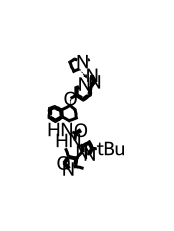 Cc1noc(C)c1-n1nc(C(C)(C)C)cc1NC(=O)N[C@H]1CC[C@@H](Oc2ccc3nnc([C@@H]4CCCN4C)n3c2)c2ccccc21